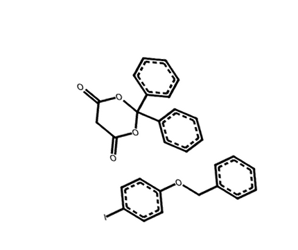 Ic1ccc(OCc2ccccc2)cc1.O=C1CC(=O)OC(c2ccccc2)(c2ccccc2)O1